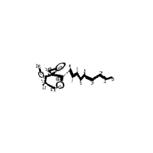 CCCCCCCC=C[C@@H]1OC[C@@H](C)[C@H](OC)[C@@]12CO2